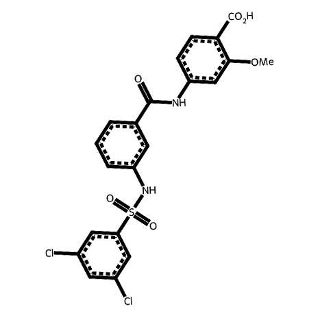 COc1cc(NC(=O)c2cccc(NS(=O)(=O)c3cc(Cl)cc(Cl)c3)c2)ccc1C(=O)O